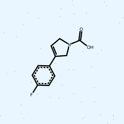 O=C(O)N1CC=C(c2ccc(F)cc2)C1